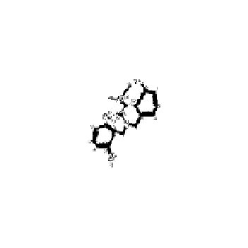 CCc1cccc(CN(Cc2ccccc2Br)[C@H](CN(C)C)[C@@H](C)CC)c1